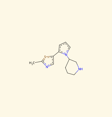 Cc1ncc(-c2cccn2C2CCCNC2)s1